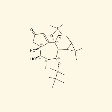 C[C@@H]1[C@@H](O)[C@]2(O)CC(=O)C=C2[C@]2(O[Si](C)(C)C)C(C3C(C[C@H]2C)C3(C)C)[C@@H]1O[Si](C)(C)C(C)(C)C